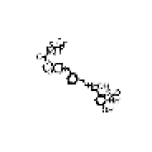 O=C(c1csc(C(F)(F)F)n1)N1CCOC2(CCN(Cc3cccc(CCNC[C@H](O)c4ccc(O)c5[nH]c(=O)sc45)c3)CC2)C1